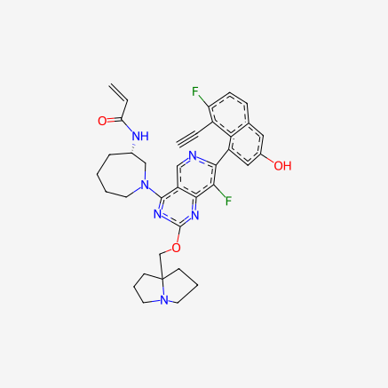 C#Cc1c(F)ccc2cc(O)cc(-c3ncc4c(N5CCCC[C@H](NC(=O)C=C)C5)nc(OCC56CCCN5CCC6)nc4c3F)c12